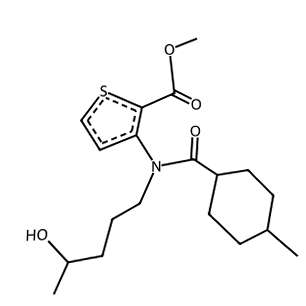 COC(=O)c1sccc1N(CCCC(C)O)C(=O)C1CCC(C)CC1